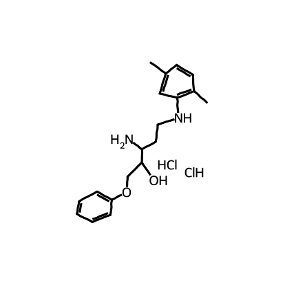 Cc1ccc(C)c(NCCC(N)C(O)COc2ccccc2)c1.Cl.Cl